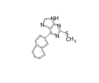 CSc1nc(-c2ccc3ccccc3c2)c2nc[nH]c2n1